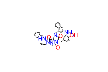 C#CCN(C(=O)NCc1ccccc1)N1CC(=O)N2[C@@H](Cc3ccc(O)c(N)c3)C(=O)N(Cc3cccc4ccccc34)C[C@@H]21